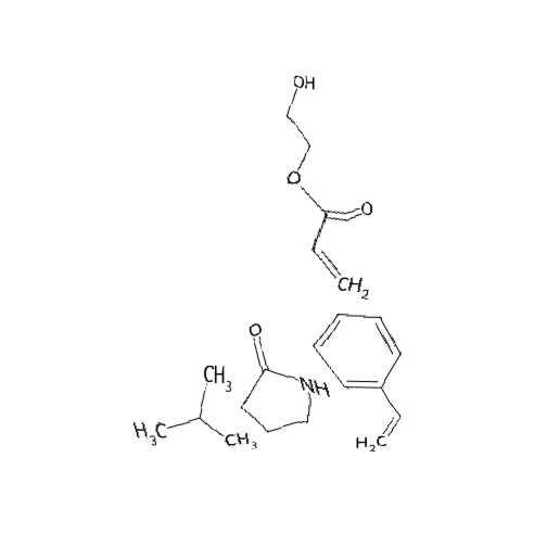 C=CC(=O)OCCO.C=Cc1ccccc1.CC(C)C.O=C1CCCN1